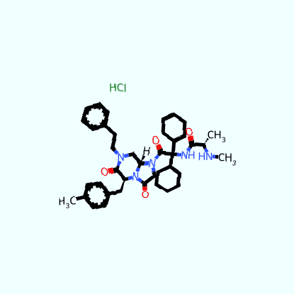 CN[C@@H](C)C(=O)NC(C(=O)N1CC(=O)N2[C@@H]1CN(CCc1ccccc1)C(=O)[C@@H]2Cc1ccc(C)cc1)(C1CCCCC1)C1CCCCC1.Cl